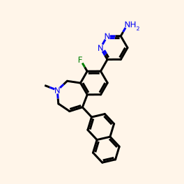 CN1CC=C(c2ccc3ccccc3c2)c2ccc(-c3ccc(N)nn3)c(F)c2C1